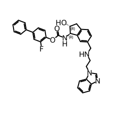 O=C(N[C@@H]1c2cc(CNCCn3cnc4ccccc43)ccc2C[C@H]1O)Oc1ccc(-c2ccccc2)cc1F